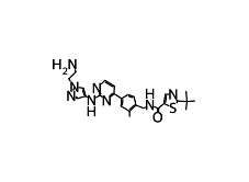 Cc1cc(-c2ccnc(Nc3cnn(CCN)c3)n2)ccc1CNC(=O)c1cnc(C(C)(C)C)s1